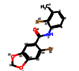 Cc1cccc(NC(=O)c2cc3c(cc2Br)OCO3)c1Br